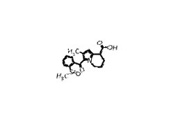 Cc1cc2n(c1C(=O)c1ccccc1[S+](C)[O-])CCCC2C(=O)O